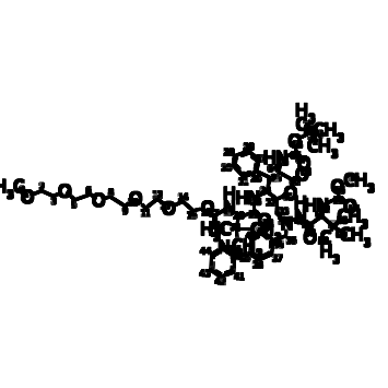 COCCOCCOCCOCCOCCOC(=O)N[C@H](C(=O)N[C@@H](Cc1ccccc1)[C@H](CN(Cc1ccc(-c2ccccn2)cc1)NC(=O)[C@@H](NC(=O)OC)C(C)(C)C)OC(=O)CNC(=O)OC(C)(C)C)C(C)(C)C